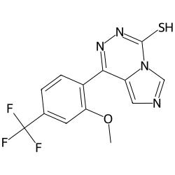 COc1cc(C(F)(F)F)ccc1-c1nnc(S)n2cncc12